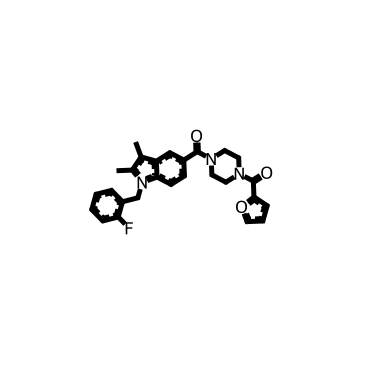 Cc1c(C)n(Cc2ccccc2F)c2ccc(C(=O)N3CCN(C(=O)c4ccco4)CC3)cc12